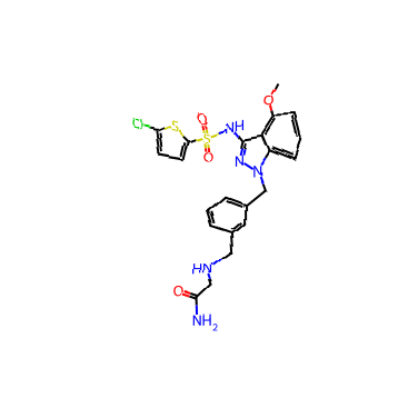 COc1cccc2c1c(NS(=O)(=O)c1ccc(Cl)s1)nn2Cc1cccc(CNCC(N)=O)c1